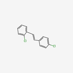 Clc1ccc(C=Cc2ccccc2Cl)cc1